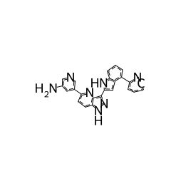 Nc1cncc(-c2ccc3[nH]nc(-c4cc5c(-c6ccccn6)cccc5[nH]4)c3n2)c1